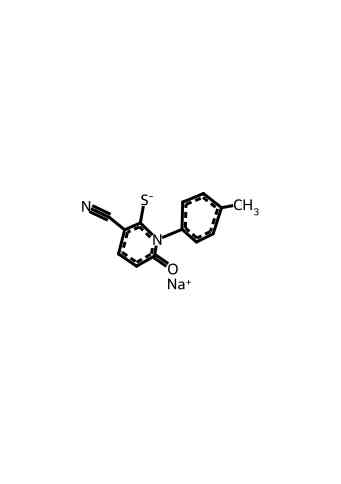 Cc1ccc(-n2c([S-])c(C#N)ccc2=O)cc1.[Na+]